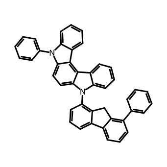 c1ccc(-c2cccc3c2Cc2c-3cccc2-n2c3ccccc3c3c4c5ccccc5n(-c5ccccc5)c4ccc32)cc1